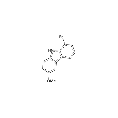 COc1ccc2[nH]c3c(Br)cccc3c2c1